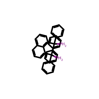 PC(c1ccccc1)(c1ccccc1)c1cccc2cccc(C(P)(c3ccccc3)c3ccccc3)c12